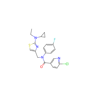 CCN(c1nc(CN(C(=O)c2ccc(Cl)nc2)c2ccc(F)cc2)cs1)C1CC1